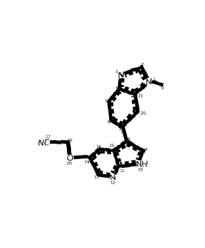 Cn1cnc2ccc(-c3c[nH]c4ncc(OCC#N)cc34)cc21